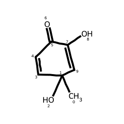 CC1(O)C=CC(=O)C(O)=C1